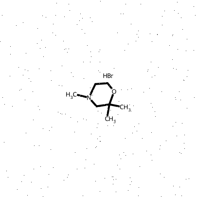 Br.CN1CCOC(C)(C)C1